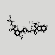 COc1ccc(C(=O)NCCN(C)C)cc1-c1csc(CNC(=O)C2(CC(=O)O)Cc3ccccc3C2)n1